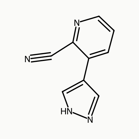 N#Cc1ncccc1-c1cn[nH]c1